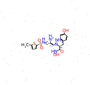 Cc1ccc(S(=O)(=O)NC/C(N)=C/N(N)[C@@H](Cc2ccc(O)cc2)C(=O)NO)s1